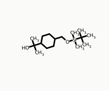 CC(C)(O)C1CCC(CO[Si](C)(C)C(C)(C)C)CC1